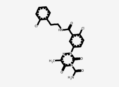 Cc1nn(-c2ccc(Cl)c(C(=O)NCCc3ccccc3Cl)c2)c(=O)n(C(N)=O)c1=O